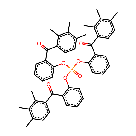 Cc1ccc(C(=O)c2ccccc2OP(=O)(Oc2ccccc2C(=O)c2ccc(C)c(C)c2C)Oc2ccccc2C(=O)c2ccc(C)c(C)c2C)c(C)c1C